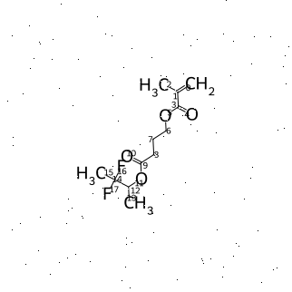 C=C(C)C(=O)OCCCC(=O)OC(C)C(C)(F)F